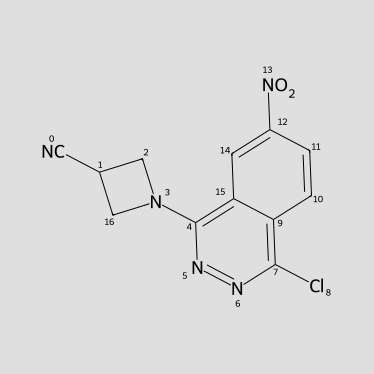 N#CC1CN(c2nnc(Cl)c3ccc([N+](=O)[O-])cc23)C1